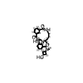 CC1CCCCNC(=O)c2cccc(c2)C(=O)/N=C2\Nc3cccc(C(=O)N(C)C4CC(O)C4)c3N21